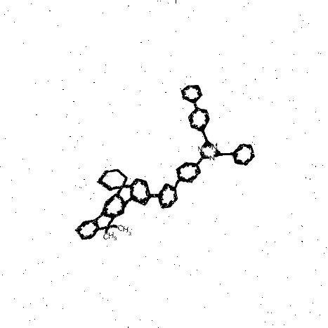 CC1(C)c2ccccc2-c2cc3c(cc21)-c1cc(-c2cccc(-c4ccc(-c5nc(-c6ccccc6)nc(-c6ccc(-c7ccccc7)cc6)n5)cc4)c2)ccc1C31CCCCC1